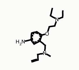 C=CCN(C)Cc1cc(N)ccc1OCCN(CC)CC